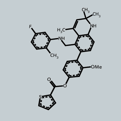 COc1cc(OC(=O)c2cccs2)ccc1-c1ccc2c(c1CNc1cc(F)ccc1C)C(C)=CC(C)(C)N2